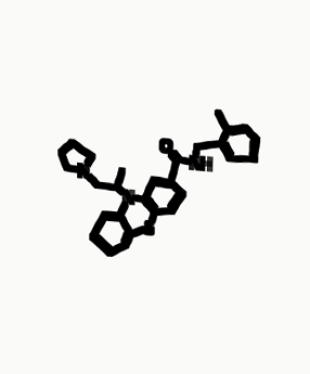 Cc1ccccc1CNC(=O)c1ccc2c(c1)N(C(C)CN1CCCC1)c1ccccc1S2